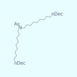 CCCCCCCCCCCCCCCCCCCN(CCCCCCCCCCCCCCCCCCC)C(C)=O